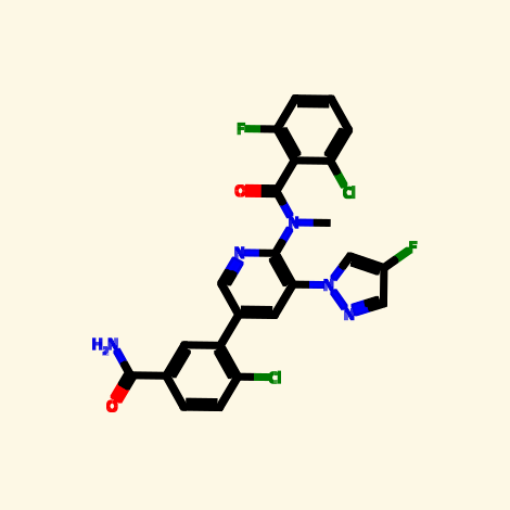 CN(C(=O)c1c(F)cccc1Cl)c1ncc(-c2cc(C(N)=O)ccc2Cl)cc1-n1cc(F)cn1